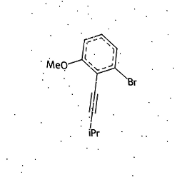 COc1cccc(Br)c1C#CC(C)C